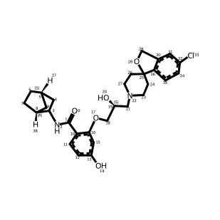 O=C(NC1C[C@H]2CC[C@@H]1C2)c1ccc(O)cc1OC[C@@H](O)CN1CCC2(CC1)OCc1cc(Cl)ccc12